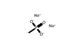 [CH2]P(=O)([O-])[O-].[Na+].[Na+]